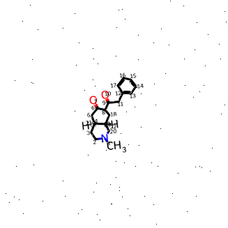 CN1CC[C@H]2CC(=O)C(C(=O)Cc3ccccc3)C[C@@H]2C1